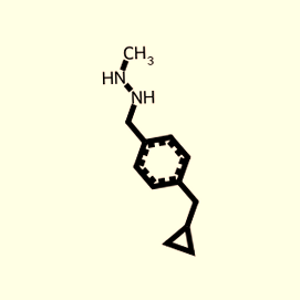 CNNCc1ccc(CC2CC2)cc1